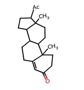 CC(=O)C1CCC2C3CCC4=CC(=O)CCC4(C)C3CCC12C